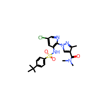 Cc1nn(-c2ncc(Cl)cc2NS(=O)(=O)c2ccc(C(C)(C)C)cc2)cc1C(=O)N(C)C